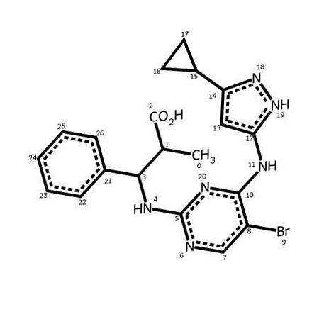 CC(C(=O)O)C(Nc1ncc(Br)c(Nc2cc(C3CC3)n[nH]2)n1)c1ccccc1